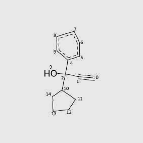 C#CC(O)(c1ccccc1)C1CCCC1